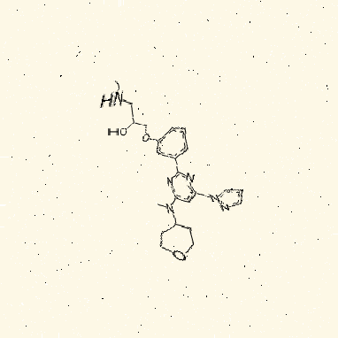 CNCC(O)COc1cccc(-c2nc(N(C)C3CCOCC3)cc(-n3cccn3)n2)c1